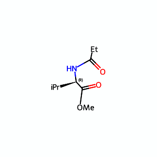 CCC(=O)N[C@@H](C(=O)OC)C(C)C